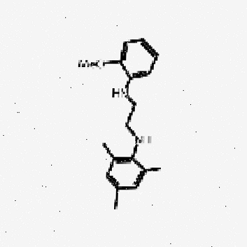 COc1ccccc1NCCNc1c(C)cc(C)cc1C